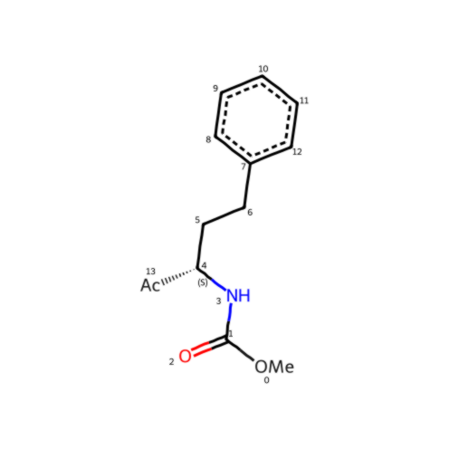 COC(=O)N[C@@H](CCc1ccccc1)C(C)=O